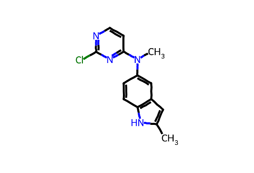 Cc1cc2cc(N(C)c3ccnc(Cl)n3)ccc2[nH]1